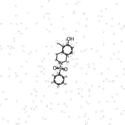 Cc1c(O)ccc2c1CCN(S(=O)(=O)c1ccccc1)C2